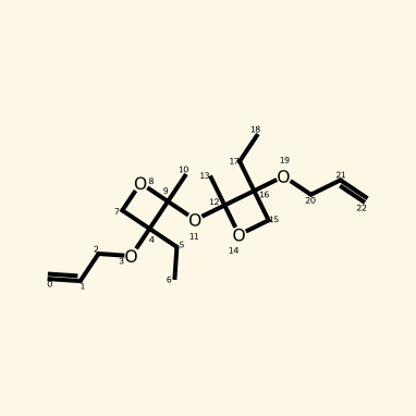 C=CCOC1(CC)COC1(C)OC1(C)OCC1(CC)OCC=C